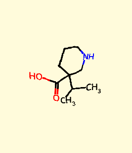 CC(C)C1(C(=O)O)CCCNC1